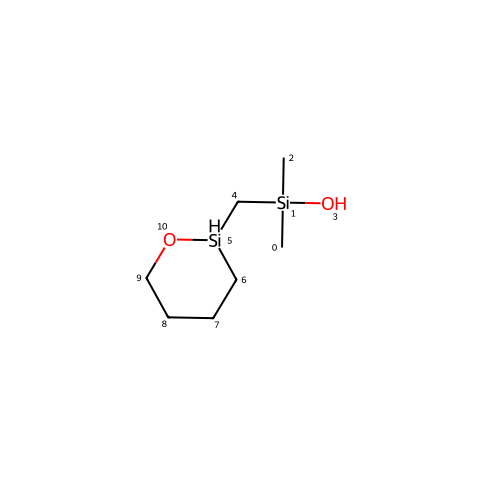 C[Si](C)(O)C[SiH]1CCCCO1